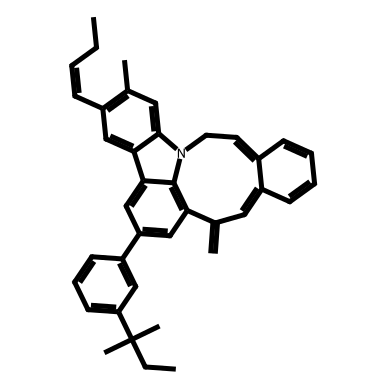 C=C1/C=c2/cccc/c2=C/Cn2c3cc(C)c(/C=C\CC)cc3c3cc(-c4cccc(C(C)(C)CC)c4)cc1c32